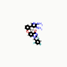 Nc1cc(-c2cccc(Oc3ccc4c(c3)c(=O)ncn4Cc3c(F)cc(F)cc3F)c2C(F)(F)F)cnc1N